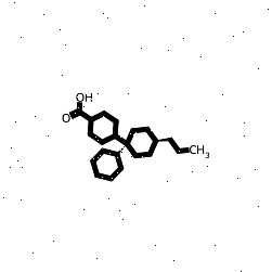 CCC[C@H]1CC[C@@](C2CCCCC2)(C2CCC(C(=O)O)CC2)CC1